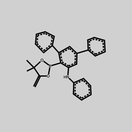 C=C1OB(c2c(Nc3ccccc3)cc(-c3ccccc3)cc2-c2ccccc2)OC1(C)C